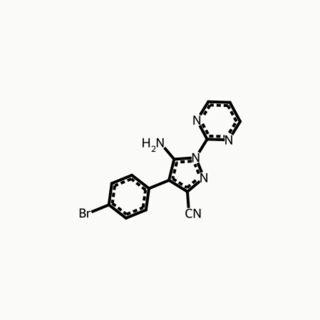 N#Cc1nn(-c2ncccn2)c(N)c1-c1ccc(Br)cc1